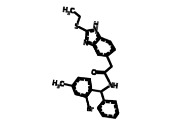 CCSc1nc2cc(CC(=O)NC(c3ccccc3)c3ccc(C)cc3Br)ccc2[nH]1